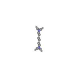 CC(C)(C)c1ccc2c(c1)c1cc(C(C)(C)C)ccc1n2-c1ccc2cc(-c3ccc4cc(-c5ccc6cc(-n7c8ccc(C(C)(C)C)cc8c8cc(C(C)(C)C)ccc87)ccc6c5)ccc4c3)ccc2c1